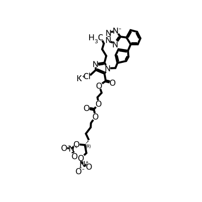 CCCCc1nc(Cl)c(C(=O)OCCOC(=O)OCCCC[C@H](CO[N+](=O)[O-])O[N+](=O)[O-])n1Cc1ccc(-c2ccccc2-c2nnn[n-]2)cc1.[K+]